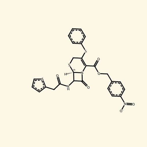 O=C(Cc1cccs1)NC1C(=O)N2C(C(=O)OCc3ccc([N+](=O)[O-])cc3)=C(Sc3ccccc3)CS[C@H]12